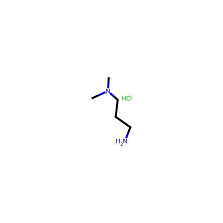 CN(C)CCCN.Cl